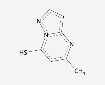 Cc1cc(S)n2nccc2n1